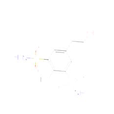 Cc1c(S(N)(=O)=O)cc(CCO)cc1S(N)(=O)=O